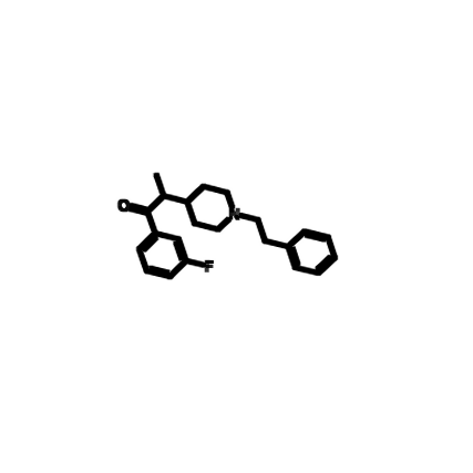 CC(C(=O)c1cccc(F)c1)C1CCN(CCc2ccccc2)CC1